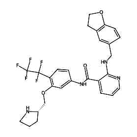 O=C(Nc1ccc(C(F)(F)C(F)(F)F)c(OC[C@@H]2CCCN2)c1)c1cccnc1NCc1ccc2c(c1)CCO2